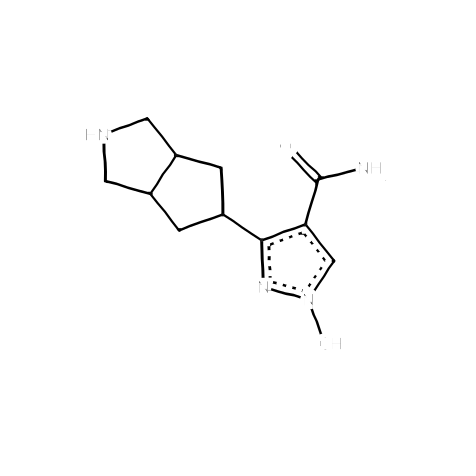 Cn1cc(C(N)=O)c(C2CC3CNCC3C2)n1